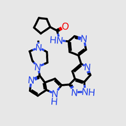 CN1CCN(c2nccc3[nH]c(-c4n[nH]c5cnc(-c6cncc(NC(=O)C7CCCC7)c6)cc45)cc23)CC1